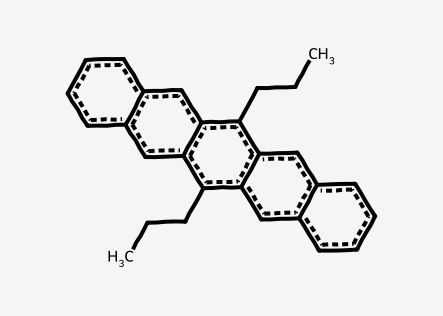 CCCc1c2cc3ccccc3cc2c(CCC)c2cc3ccccc3cc12